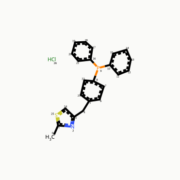 Cc1nc(Cc2ccc(P(c3ccccc3)c3ccccc3)cc2)cs1.Cl